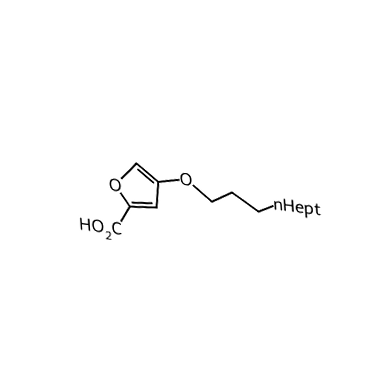 CCCCCCCCCCOc1coc(C(=O)O)c1